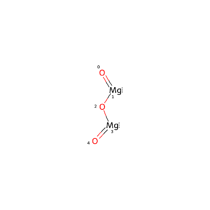 [O]=[Mg][O][Mg]=[O]